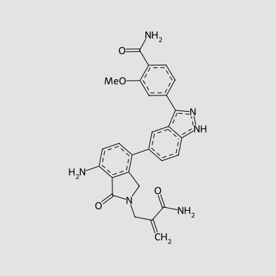 C=C(CN1Cc2c(-c3ccc4[nH]nc(-c5ccc(C(N)=O)c(OC)c5)c4c3)ccc(N)c2C1=O)C(N)=O